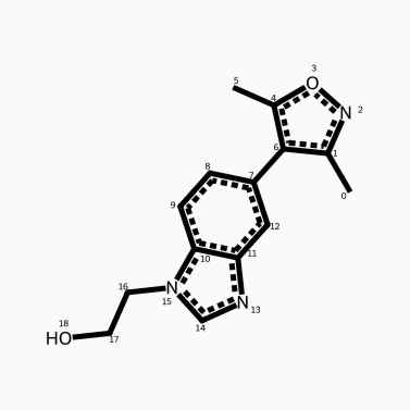 Cc1noc(C)c1-c1ccc2c(c1)ncn2CCO